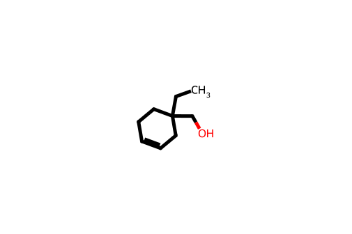 CCC1(CO)CC=CCC1